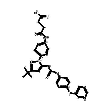 CC(C)(C)c1cc(NC(=O)Nc2ccc(Oc3cccnc3)cc2)n(-c2ccc(NC(=O)CCC(=O)O)cc2)n1